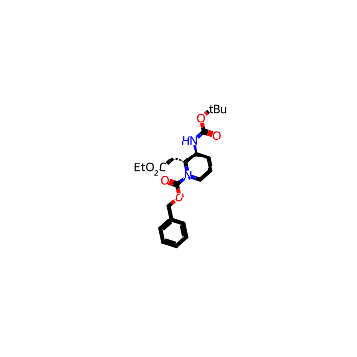 CCOC(=O)C[C@@H]1[C@@H](NC(=O)OC(C)(C)C)CCCN1C(=O)OCc1ccccc1